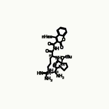 CCCCCCc1c(C(=O)NC(=O)[C@H](CCCNC(=N)N)NC(=O)[C@]2(OC(C)(C)C)CCCN2C(=O)[C@@H](N)C(C)C)c(=O)oc2ccccc12